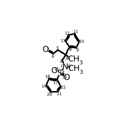 CN(CC(C)(CC=O)c1ccccc1)S(=O)(=O)c1ccccc1